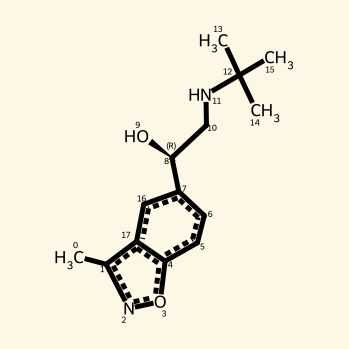 Cc1noc2ccc([C@@H](O)CNC(C)(C)C)cc12